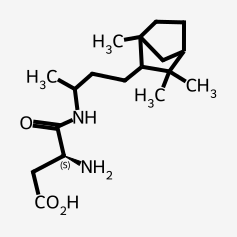 CC(CCC1C2(C)CCC(C2)C1(C)C)NC(=O)[C@@H](N)CC(=O)O